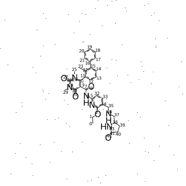 CCOc1nc(NC(=O)c2c(-c3cccc(-c4ccccc4)c3C)n(C)c(=O)n(C)c2=O)ccc1CNCC1CCC(=O)N1